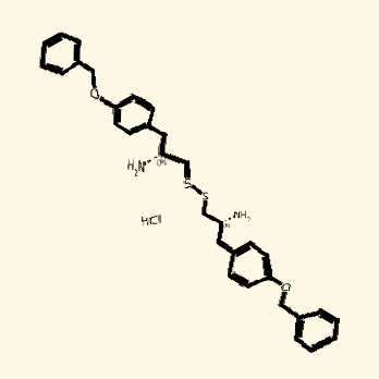 Cl.N[C@@H](CSSC[C@H](N)Cc1ccc(OCc2ccccc2)cc1)Cc1ccc(OCc2ccccc2)cc1